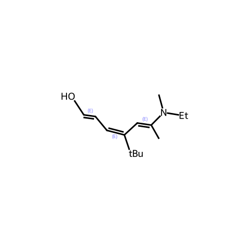 CCN(C)/C(C)=C/C(=C\C=C\O)C(C)(C)C